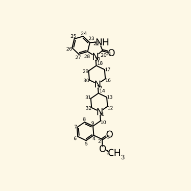 COC(=O)c1ccccc1CN1CCC(N2CCC(n3c(=O)[nH]c4ccccc43)CC2)CC1